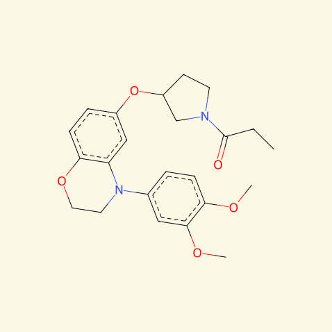 CCC(=O)N1CCC(Oc2ccc3c(c2)N(c2ccc(OC)c(OC)c2)CCO3)C1